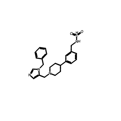 O=[SH](=O)NCc1cccc(C2CCN(Cc3cncn3Cc3ccccc3)CC2)c1